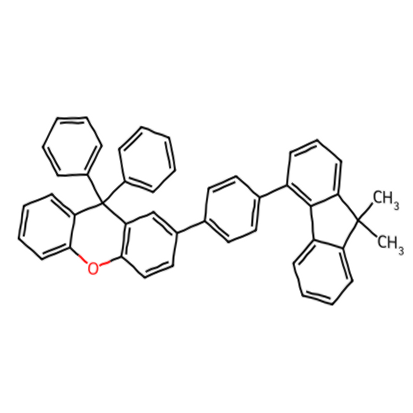 CC1(C)c2ccccc2-c2c(-c3ccc(-c4ccc5c(c4)C(c4ccccc4)(c4ccccc4)c4ccccc4O5)cc3)cccc21